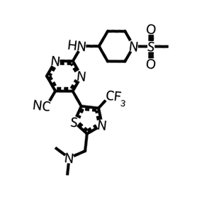 CN(C)Cc1nc(C(F)(F)F)c(-c2nc(NC3CCN(S(C)(=O)=O)CC3)ncc2C#N)s1